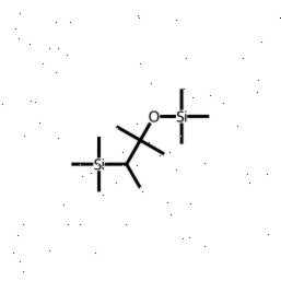 CC(C(C)(C)O[Si](C)(C)C)[Si](C)(C)C